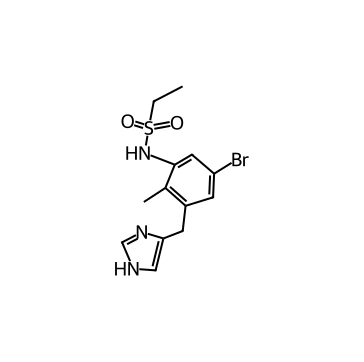 CCS(=O)(=O)Nc1cc(Br)cc(Cc2c[nH]cn2)c1C